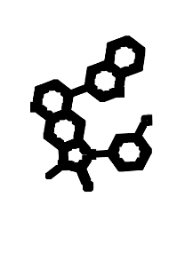 Cn1c(=O)n(-c2cccc(Cl)c2)c2cc3c(-c4cnc5ccccc5c4)ccnc3cc21